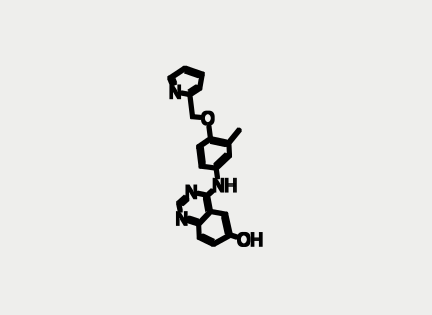 Cc1cc(Nc2ncnc3ccc(O)cc23)ccc1OCc1ccccn1